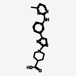 Cc1ccnc(Nc2cccc(-c3csc(N4CCC(C(=O)O)CC4)n3)c2)n1